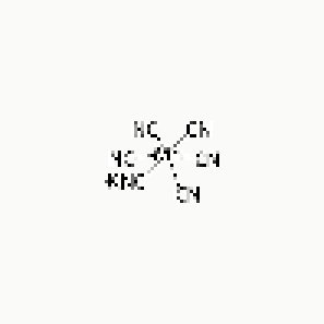 N#[C][Mn]([C]#N)([C]#N)([C]#N)([C]#N)[C]#N.[K]